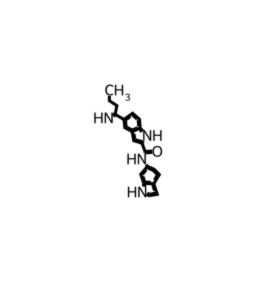 CCCC(=N)c1ccc2[nH]c(C(=O)Nc3ccc4cc[nH]c4c3)cc2c1